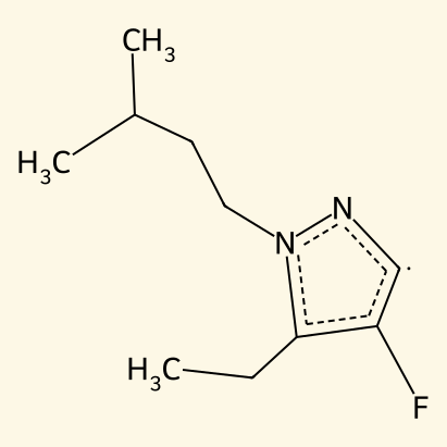 CCc1c(F)[c]nn1CCC(C)C